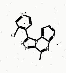 Cc1nc2ccccc2n2c(-c3ccncc3Cl)nnc12